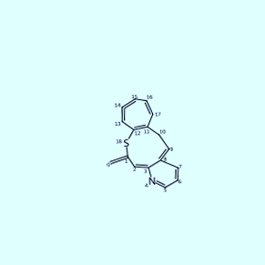 C=C1/C=c2/nccc/c2=C/CC2=C(C=C=CC=C2)S1